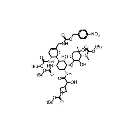 CN(C(=O)OC(C)(C)C)[C@@H]1[C@@H](O)[C@@H](O[C@@H]2[C@@H](O)[C@H](C3OC(CNC(=O)OCc4ccc([N+](=O)[O-])cc4)=CC[C@H]3NC(=O)OC(C)(C)C)[C@@H](NC(=O)OC(C)(C)C)C[C@H]2NC(=O)C(O)C2CN(C(=O)OC(C)(C)C)C2)OC[C@]1(C)O